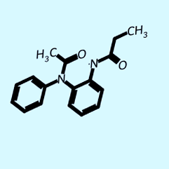 CCC(=O)[N]c1ccccc1N(C(C)=O)c1ccccc1